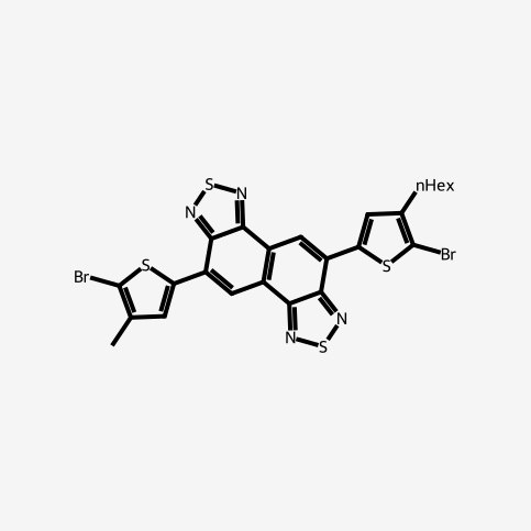 CCCCCCc1cc(-c2cc3c(cc(-c4cc(C)c(Br)s4)c4nsnc43)c3nsnc23)sc1Br